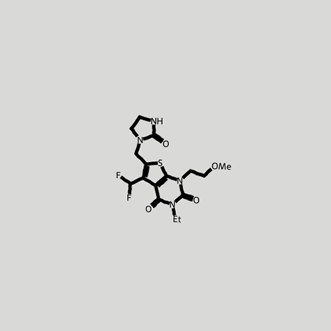 CCn1c(=O)c2c(C(F)F)c(CN3CCNC3=O)sc2n(CCOC)c1=O